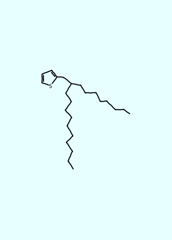 CCCCCCCCCCC(CCCCCCCC)Cc1cccs1